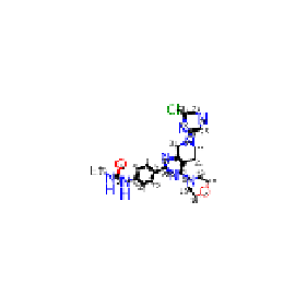 CCNC(=O)Nc1ccc(-c2nc3c(c(N4CCOCC4)n2)CCN(c2cncc(Cl)n2)C3)cc1